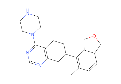 CC1=C(C2CCc3c(ncnc3N3CCNCC3)C2)C2COCC2C=C1